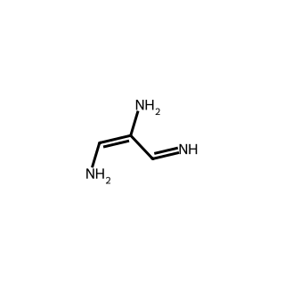 N=C/C(N)=C\N